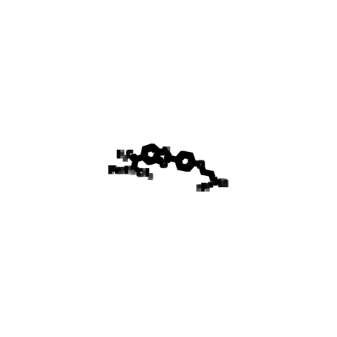 C=C(c1ccc2nc(-c3ccc(OCCN(CC)CCC)cc3)oc2c1)[C@@H](C)[C@@H](C)CCC